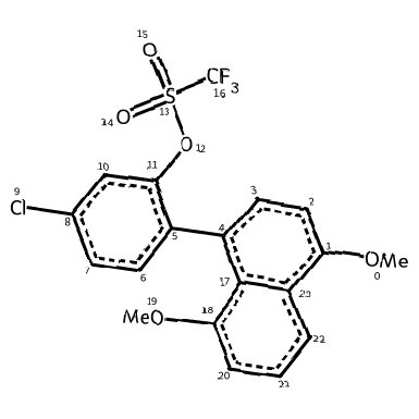 COc1ccc(-c2ccc(Cl)cc2OS(=O)(=O)C(F)(F)F)c2c(OC)cccc12